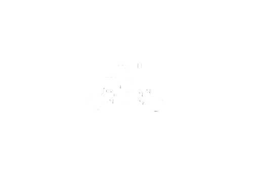 CC(=O)c1cc(-n2nc3ccccc3n2)c(O)c(-n2nc3ccccc3n2)c1O